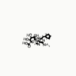 Nc1nc(Cc2ccccc2)nc2c1ncn2C1(O)O[C@H](C(=O)O)[C@@H](O)[C@H](O)[C@H]1O